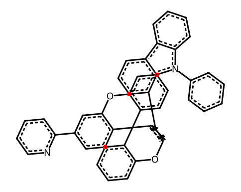 c1ccc(-n2c3ccccc3c3cccc(-c4cccc5c4C4(c6ccccc6Oc6cc(-c7ccccn7)ccc64)c4ccccc4O5)c32)cc1